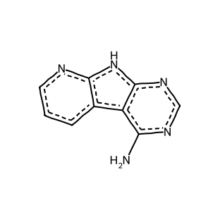 Nc1ncnc2[nH]c3ncccc3c12